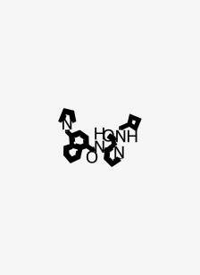 O=C(NCC1CCC1)c1ncccc1NC(=O)c1ccc(Cn2cccc2)c2ccccc12